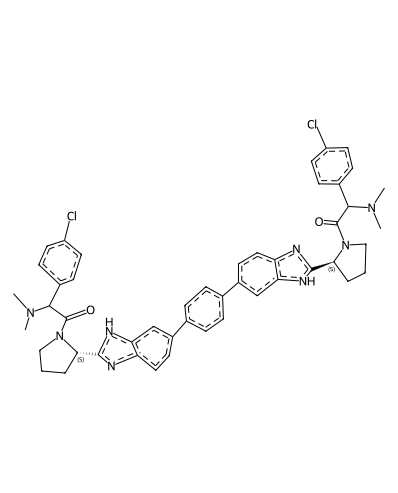 CN(C)C(C(=O)N1CCC[C@H]1c1nc2ccc(-c3ccc(-c4ccc5nc([C@@H]6CCCN6C(=O)C(c6ccc(Cl)cc6)N(C)C)[nH]c5c4)cc3)cc2[nH]1)c1ccc(Cl)cc1